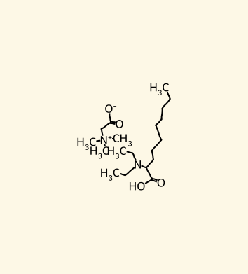 CCCCCCCCC(C(=O)O)N(CC)CC.C[N+](C)(C)CC(=O)[O-]